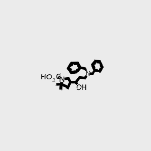 CC1(C)CC(C(O)CCN(Cc2ccccc2)Cc2ccccc2)CN1C(=O)O